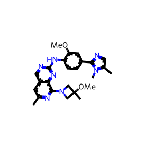 COc1cc(-c2ncc(C)n2C)ccc1Nc1ncc2cc(C)nc(N3CC(C)(OC)C3)c2n1